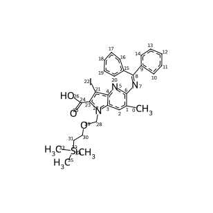 Cc1cc2c(nc1N=C(c1ccccc1)c1ccccc1)c(I)c(C(=O)O)n2COCC[Si](C)(C)C